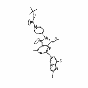 COC=Cc1nc(-c2cc(F)c3nc(C)cn3c2)cc(C)c1C(=O)NC1CCN(C(=O)OC(C)(C)C)CC1